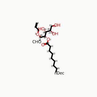 C=CCO[C@@H](C=O)[C@@H](OC(=O)CCCCCCCCCCCCCCCCC)[C@H](O)[C@H](O)CO